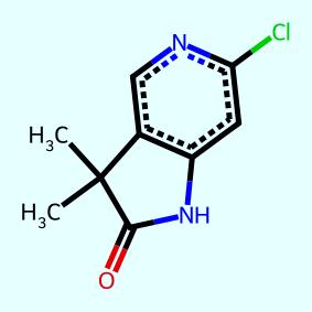 CC1(C)C(=O)Nc2cc(Cl)ncc21